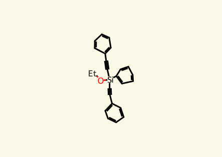 CCO[Si](C#Cc1ccccc1)(C#Cc1ccccc1)c1ccccc1